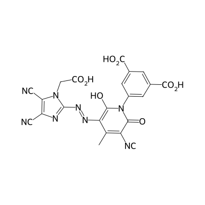 [C-]#[N+]c1c(C)c(N=Nc2nc(C#N)c(C#N)n2CC(=O)O)c(O)n(-c2cc(C(=O)O)cc(C(=O)O)c2)c1=O